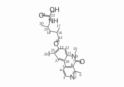 Cc1nccc2c1c(=O)n(C)c1cc(OCC(C)CC(C)NC(=O)O)c(I)cc21